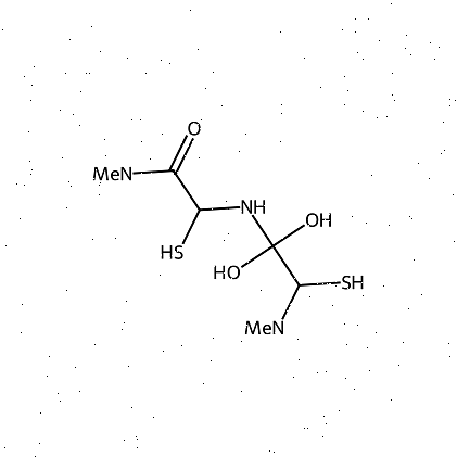 CNC(=O)C(S)NC(O)(O)C(S)NC